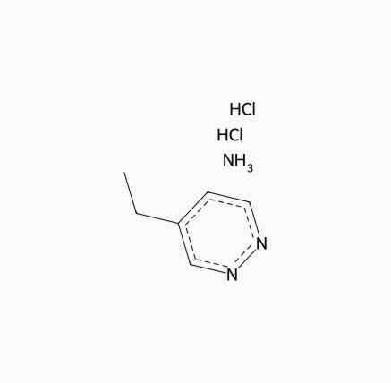 CCc1ccnnc1.Cl.Cl.N